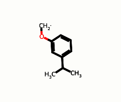 [CH2]Oc1cccc(C(C)C)c1